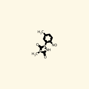 Cc1ccc(N=O)c(-n2[nH]c(=O)n(C)c2=O)c1